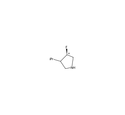 CC(C)C1CNC[C@@H]1F